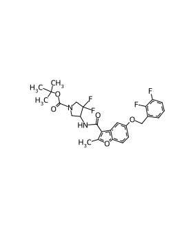 Cc1oc2ccc(OCc3cccc(F)c3F)cc2c1C(=O)NC1CN(C(=O)OC(C)(C)C)CC1(F)F